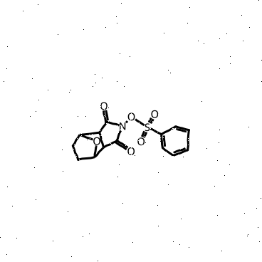 O=C1C2C3CCC(O3)C2C(=O)N1OS(=O)(=O)c1ccccc1